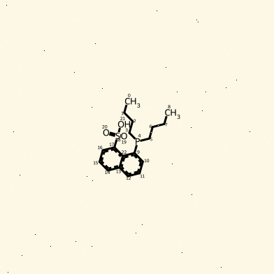 CCCCP(CCCC)c1cccc2cccc(S(=O)(=O)O)c12